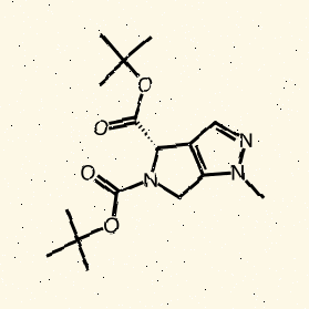 Cn1ncc2c1CN(C(=O)OC(C)(C)C)[C@@H]2C(=O)OC(C)(C)C